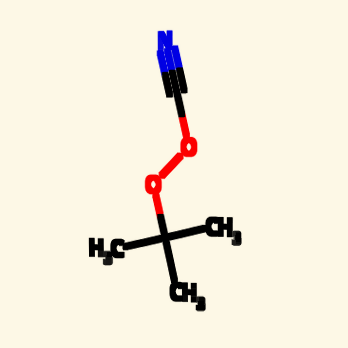 CC(C)(C)OOC#N